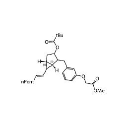 CCCCCC=CC1[C@H]2C(Cc3cccc(OCC(=O)OC)c3)C(OC(=O)C(C)(C)C)C[C@@H]12